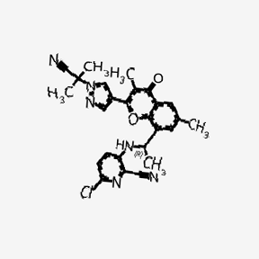 Cc1cc([C@@H](C)Nc2ccc(Cl)nc2C#N)c2oc(-c3cnn(C(C)(C)C#N)c3)c(C)c(=O)c2c1